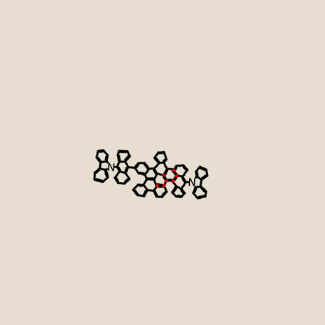 c1ccc(-c2ccccc2-c2c3ccc(-c4c5ccccc5c(-n5c6ccccc6c6ccccc65)c5ccccc45)cc3c(-c3ccccc3-c3ccccc3)c3ccc(-c4c5ccccc5c(-n5c6ccccc6c6ccccc65)c5ccccc45)cc23)cc1